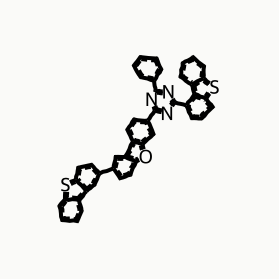 c1ccc(-c2nc(-c3ccc4c(c3)oc3ccc(-c5ccc6sc7ccccc7c6c5)cc34)nc(-c3cccc4sc5ccccc5c34)n2)cc1